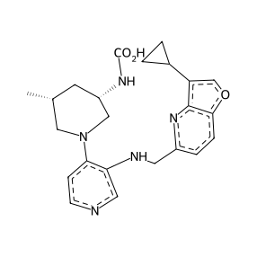 C[C@@H]1C[C@H](NC(=O)O)CN(c2ccncc2NCc2ccc3occ(C4CC4)c3n2)C1